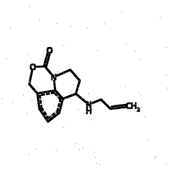 C=CCNC1CCN2C(=O)OCc3cccc1c32